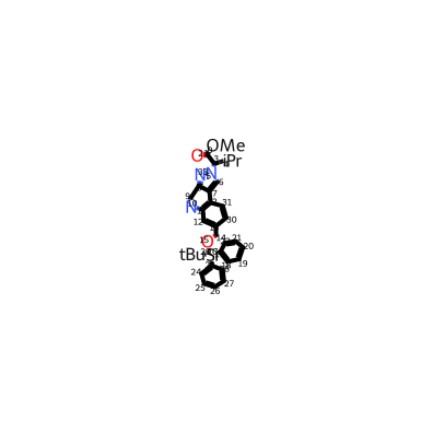 COC(=O)C(C(C)C)n1cc2c(cnc3cc(CO[Si](c4ccccc4)(c4ccccc4)C(C)(C)C)ccc32)n1